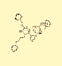 O=C(NC(CCCCc1ccccc1)C(=O)N1CSC[C@H]1C(=O)N[C@@H](Cc1ccccc1)C(O)C(=O)O)OCc1ccccc1